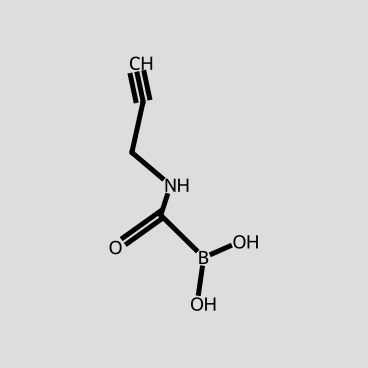 C#CCNC(=O)B(O)O